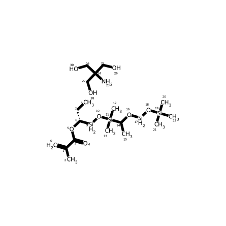 C=C(C)C(=O)O[C@H](CC)[SiH2]O[Si](C)(C)C(C)O[SiH2]O[Si](C)(C)C.NC(CO)(CO)CO